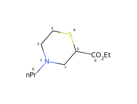 CCCN1CCSC(C(=O)OCC)C1